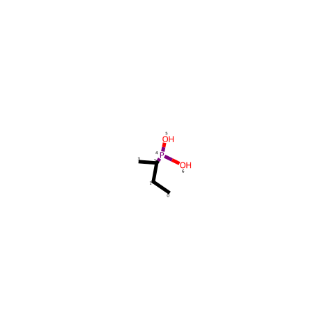 CCC(C)P(O)O